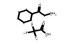 NCC(=O)C1CCCCC1.O=C(O)C(F)(F)F